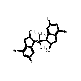 CC1Cc2c(Br)cc(F)cc2C1[Si](C)(C)C1c2cc(F)cc(Br)c2CC1C